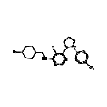 CC(C)C1CCC(CNc2ncnc(N3CCC[C@@H]3c3ccc(C(F)(F)F)cc3)c2F)CC1